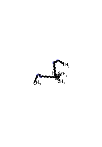 CCCCC/C=C\C/C=C\CCCCCCCCC1(CCCCCCCC/C=C\C/C=C\CCCCC)O[C@H](CC)[C@@H](CN(C)C)O1